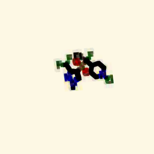 CC[C@](F)(C1CCN(Cl)CC1)S(=O)(=O)c1cn(C)nc1C(F)F